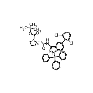 CC(C)(C)OC(=O)N1CCC[C@H]1CC(=O)Nc1nn(C(c2ccccc2)(c2ccccc2)c2ccccc2)c2ccc(-c3c(Cl)cccc3Cl)cc12